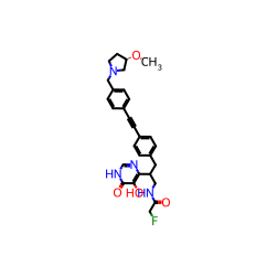 CO[C@H]1CCN(Cc2ccc(C#Cc3ccc(CC(CNC(=O)CF)c4nc[nH]c(=O)c4O)cc3)cc2)C1